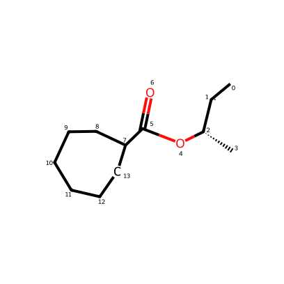 C[CH][C@H](C)OC(=O)C1CCCCCC1